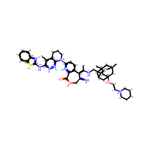 C/C(NCC1CC2(C)CC3(C)CC1CC(OCCN1CCCCC1)(C2)C3)=C1/C(=N)COC(=O)c2nc(N3CCCc4c3nnc(Nc3nc5ccccc5s3)c4C)ccc21